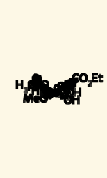 CCOC(=O)CN1CCN(C(=O)[C@@H]2[C@@H](O)[C@H](O)CN2C(=O)Cc2ccc(NC(=O)Nc3ccccc3C)c(OC)c2)CC1